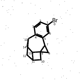 Brc1ccc2c(c1)C1CC13CC1CC2CC13